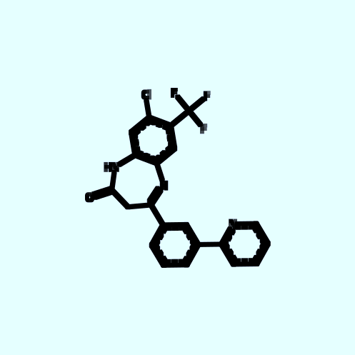 O=C1CC(c2cccc(-c3ccccn3)c2)=Nc2cc(C(F)(F)F)c(Cl)cc2N1